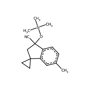 Cc1ccc2c(c1)C1(CC1)CC2(C#N)O[Si](C)(C)C